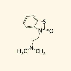 CN(C)CCn1c(=O)sc2ccccc21